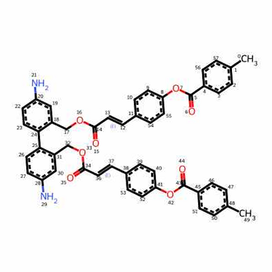 Cc1ccc(C(=O)Oc2ccc(/C=C/C(=O)OCc3cc(N)ccc3-c3ccc(N)cc3COC(=O)/C=C/c3ccc(OC(=O)c4ccc(C)cc4)cc3)cc2)cc1